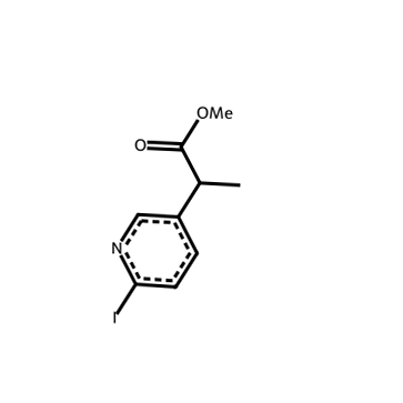 COC(=O)C(C)c1ccc(I)nc1